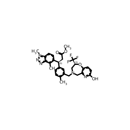 COC(=O)C[C@@H](c1ccc(C)c(CN2Cc3nc(O)ccc3O[C@H](C(F)(F)F)C2)c1)c1ccc2c(nnn2C)c1C